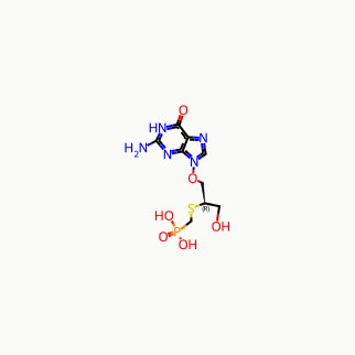 Nc1nc2c(ncn2OC[C@@H](CO)SCP(=O)(O)O)c(=O)[nH]1